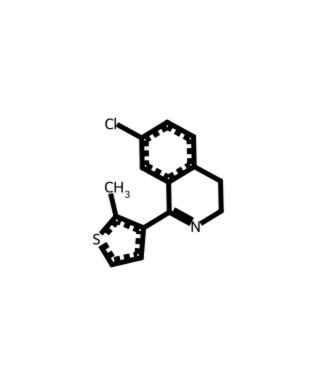 Cc1sccc1C1=NCCc2ccc(Cl)cc21